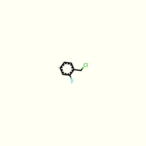 Fc1c[c]ccc1CCl